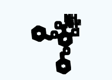 NNC(=O)c1c(Cl)cc(OCc2ccccc2)cc1OCc1ccccc1